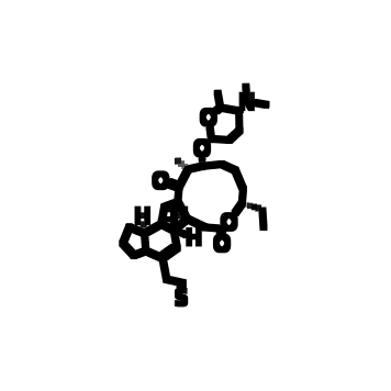 CC[C@H]1CCC[C@H](O[C@H]2CC[C@H](N(C)C)C(C)O2)[C@@H](C)C(=O)C2=C[C@@H]3[C@@H](C=C(CC=S)C4CCC[C@H]43)[C@@H]2CC(=O)O1